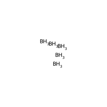 B.B.B.B.B